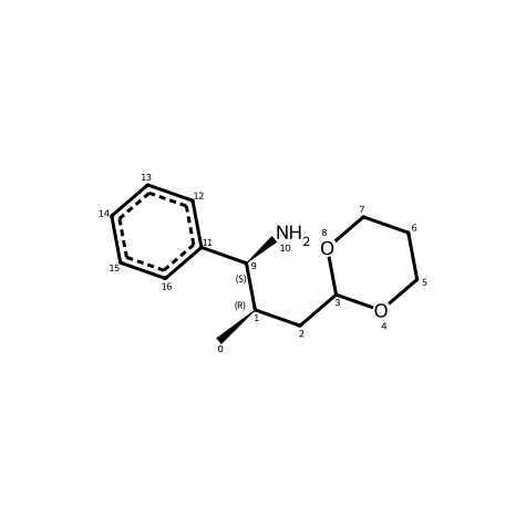 C[C@H](CC1OCCCO1)[C@H](N)c1ccccc1